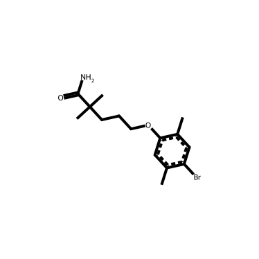 Cc1cc(OCCCC(C)(C)C(N)=O)c(C)cc1Br